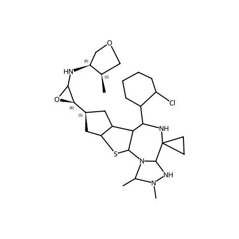 CC1N(C)NC2N1C1SC3C[C@@H]([C@H]4OC4N[C@H]4COC[C@H]4C)CC3C1C(C1CCCCC1Cl)NC21CC1